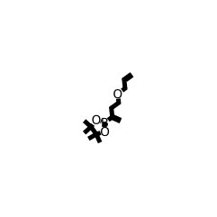 C=CCOCCC(=C)B1OC(C)(C)C(C)(C)O1